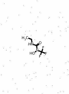 CCNC(=O)N(O)C(F)(F)F